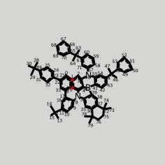 Cc1cc2c3c(c1)N(c1ccc(C(C)(C)C)cc1-c1cccc(-c4ccc(C(C)(C)C)cc4)c1)c1cc4c(cc1B3c1ccc(C(C)(C)c3ccccc3)cc1N2c1cccc(C(C)(C)c2ccccc2)c1)C(C)(C)CCC4(C)C